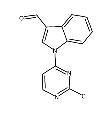 O=Cc1cn(-c2ccnc(Cl)n2)c2ccccc12